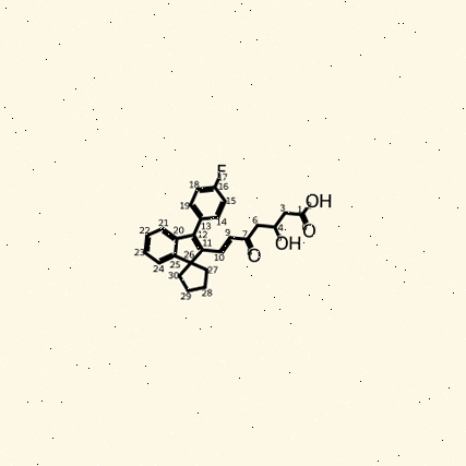 O=C(O)CC(O)CC(=O)/C=C/C1=C(c2ccc(F)cc2)c2ccccc2C12CCCC2